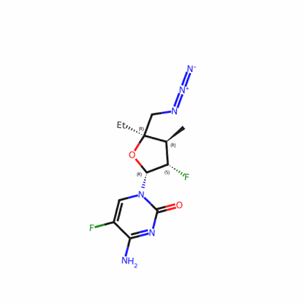 CC[C@@]1(CN=[N+]=[N-])O[C@@H](n2cc(F)c(N)nc2=O)[C@@H](F)[C@@H]1C